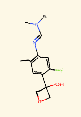 CCN(C)C=Nc1cc(F)c(C2(O)COC2)cc1C